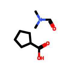 CN(C)C=O.O=C(O)C1CCCC1